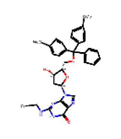 COc1ccc(C(OC[C@@H]2O[C@@H](n3cnc4c(=O)[nH]c(NCC(C)C)nc43)C[C@H]2O)(c2ccccc2)c2ccc(OC)cc2)cc1